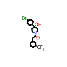 O=C(Cc1cccc(C(F)(F)F)c1)N1CCC(O)(c2ccc(Br)cc2)CC1